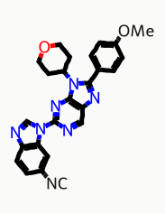 [C-]#[N+]c1ccc2ncn(-c3ncc4nc(-c5ccc(OC)cc5)n(C5CCOCC5)c4n3)c2c1